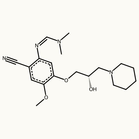 COc1cc(C#N)c(/N=C\N(C)C)cc1OC[C@@H](O)CN1CCCCC1